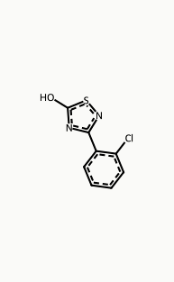 Oc1nc(-c2ccccc2Cl)ns1